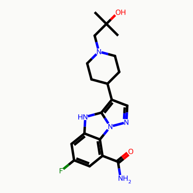 CC(C)(O)CN1CCC(c2cnn3c2[nH]c2cc(F)cc(C(N)=O)c23)CC1